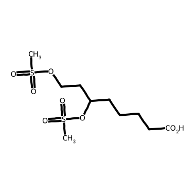 CS(=O)(=O)OCCC(CCCCC(=O)O)OS(C)(=O)=O